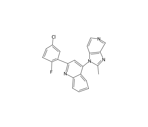 Cc1nc2cnccc2n1-c1cc(-c2cc(Cl)ccc2F)nc2ccccc12